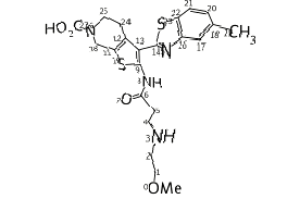 COCCNCCC(=O)Nc1sc2c(c1-c1nc3cc(C)ccc3s1)CCN(C(=O)O)C2